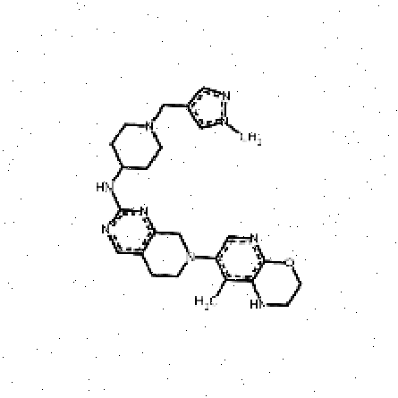 Cc1c(N2CCc3cnc(NC4CCN(Cc5cnn(C)c5)CC4)nc3C2)cnc2c1NCCO2